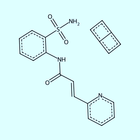 NS(=O)(=O)c1ccccc1NC(=O)C=Cc1ccccn1.c1cc2ccc1-2